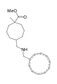 COC(=O)C1(C)CCCC(CNCc2ccccccccc2)CCC1